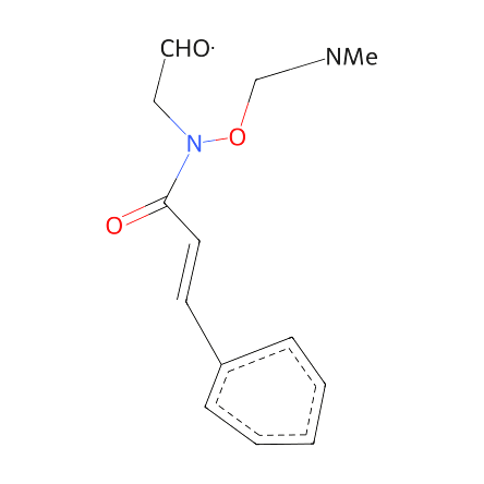 CNCON(C[C]=O)C(=O)/C=C/c1ccccc1